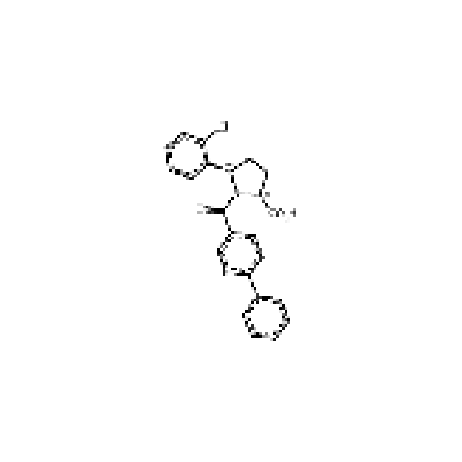 O=C(O)[C@@H]1CC[C@H](c2ccccc2Cl)N1C(=O)c1cnc(-c2ccccc2)nc1